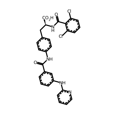 O=C(Nc1ccc(C[C@H](NC(=O)c2c(Cl)cccc2Cl)C(=O)O)cc1)c1cccc(Nc2ccccn2)c1